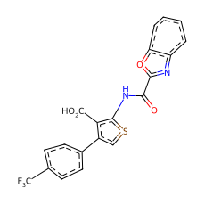 O=C(Nc1scc(-c2ccc(C(F)(F)F)cc2)c1C(=O)O)c1nc2ccccc2o1